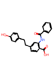 O=C(Nc1cc(CCc2ccc(O)cc2)ccc1C(=O)O)c1ccccc1